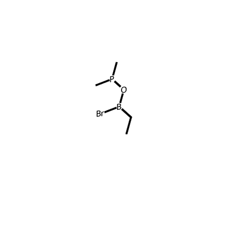 CCB(Br)OP(C)C